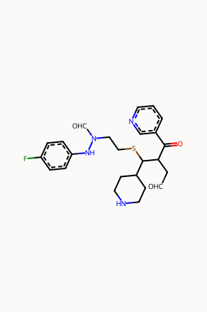 O=CCC(C(=O)c1cccnc1)C(SCCN(C=O)Nc1ccc(F)cc1)C1CCNCC1